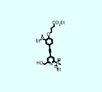 CCOC(=O)CCCOc1ccc(C#Cc2cc(CO)nc(P(C)(=O)OCC)c2)cc1N(C)CC